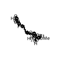 CCOc1cc([C@@H](C(C)[SH](=O)=O)N2C(=O)c3cccc(NC(=O)CN4CCN(CCCCN5CCC(c6cc7c(cc6F)C(=O)N(C6CCC(=O)NC6=O)C7)CC5)CC4)c3C2=O)ccc1OC